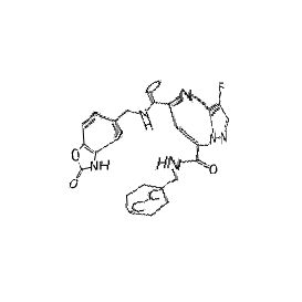 O=C(NCc1ccc2oc(=O)[nH]c2c1)c1cc(C(=O)NCC23CCC(CC2)CC3)n2ncc(F)c2n1